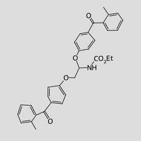 CCOC(=O)NC(COc1ccc(C(=O)c2ccccc2C)cc1)Oc1ccc(C(=O)c2ccccc2C)cc1